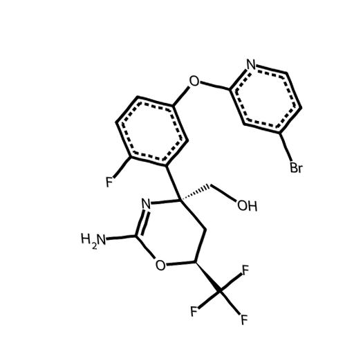 NC1=N[C@@](CO)(c2cc(Oc3cc(Br)ccn3)ccc2F)C[C@@H](C(F)(F)F)O1